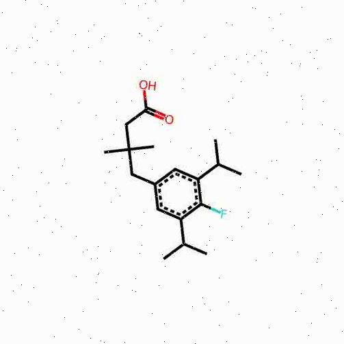 CC(C)c1cc(CC(C)(C)CC(=O)O)cc(C(C)C)c1F